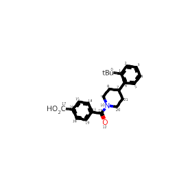 CC(C)(C)c1ccccc1C1CCN(C(=O)c2ccc(C(=O)O)cc2)CC1